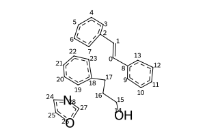 C(=Cc1ccccc1)c1ccccc1.OCCCc1ccccc1.c1cocn1